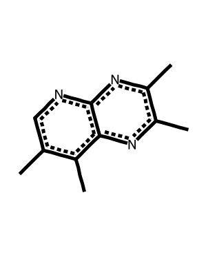 Cc1cnc2nc(C)c(C)nc2c1C